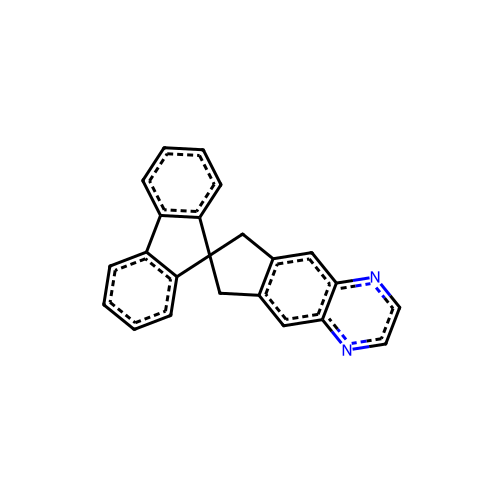 c1ccc2c(c1)-c1ccccc1C21Cc2cc3nccnc3cc2C1